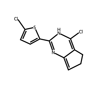 ClC1=C2CCC=C2N=C(c2ccc(Cl)s2)N1